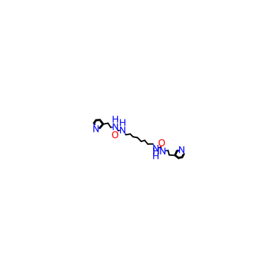 O=C(NCCCCCCCCNC(=O)NCCc1cccnc1)NCCc1cccnc1